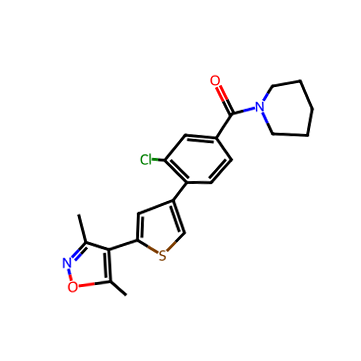 Cc1noc(C)c1-c1cc(-c2ccc(C(=O)N3CCCCC3)cc2Cl)cs1